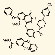 COC(=O)c1ccc(Oc2ccccc2)c(OC)c1.COc1c(Oc2ccccc2)ccc2c(=O)[nH]nc(Cc3ccc(F)c(C(=O)N4CCN(c5ccc(C#N)cn5)CC4)c3)c12